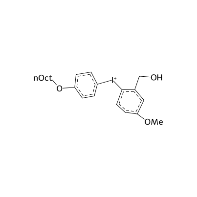 CCCCCCCCOc1ccc([I+]c2ccc(OC)cc2CO)cc1